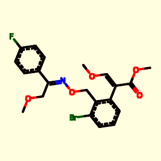 CO/C=C(/C(=O)OC)c1cccc(Br)c1CO/N=C(\COC)c1ccc(F)cc1